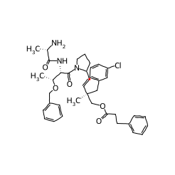 C[C@H](N)C(=O)N[C@H](C(=O)N1CCCC1/C=C/[C@](C)(COC(=O)CCc1ccccc1)Cc1cccc(Cl)c1)[C@@H](C)OCc1ccccc1